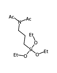 CCO[Si](CCCN(C(C)=O)C(C)=O)(OCC)OCC